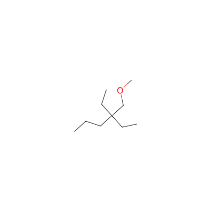 CCCC(CC)(CC)COC